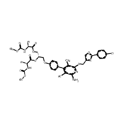 CC(C)[C@H](NC(=O)OC(C)(C)C)C(=O)OC[C@H](COc1ccc(-c2c(C#N)c(N)nc(SCc3coc(-c4ccc(Cl)cc4)n3)c2C#N)cc1)OC(=O)[C@@H](NC(=O)OC(C)(C)C)C(C)C